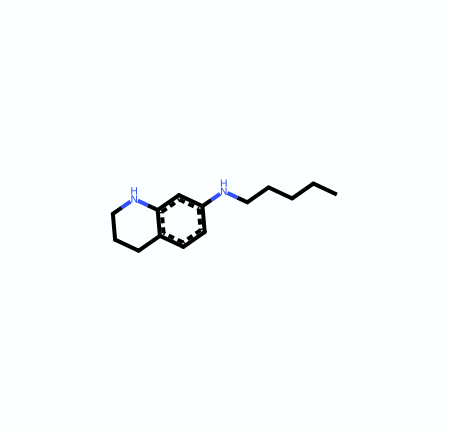 CCCCCNc1ccc2c(c1)NCCC2